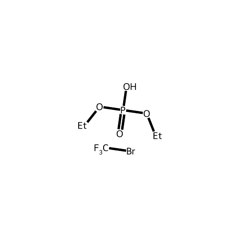 CCOP(=O)(O)OCC.FC(F)(F)Br